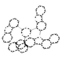 c1ccc2cc3c(cc2c1)c1ccc2ccccc2c1n3-c1ccc2c(oc3ccccc32)c1-c1nc(-c2cccc3ccccc23)nc(-c2cccc3sc4ccccc4c23)n1